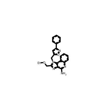 CCOCc1nc2c(N)nc3ccccc3c2n1Cc1cc(-c2ccccc2)no1